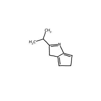 CC(C)C1=NC2=CCC=C2C1